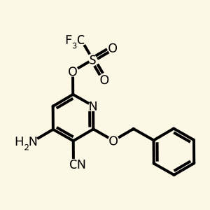 N#Cc1c(N)cc(OS(=O)(=O)C(F)(F)F)nc1OCc1ccccc1